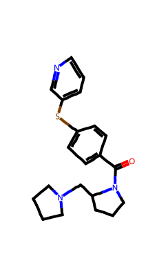 O=C(c1ccc(Sc2cccnc2)cc1)N1CCCC1CN1CCCC1